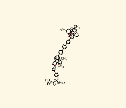 C=C(CC)C(=O)OC(CCCCCC)Oc1ccc(-c2ccc(-c3ccc4c(c3)C3(c5cc(-c6ccc(-c7ccc(-c8ccc(-c9ccc%10c(c9)C9(c%11cc(C)ccc%11-%10)C%10(C)CC(CCC)CC9(C)CC(C9CCCCC9)C%10)cc8)cc7)cc6)ccc5-4)C(C)(C)CCC3(C)C)s2)cc1